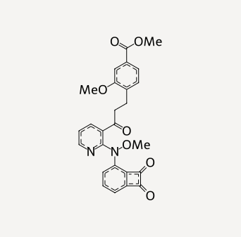 COC(=O)c1ccc(CCC(=O)c2cccnc2N(OC)c2cccc3c(=O)c(=O)c23)c(OC)c1